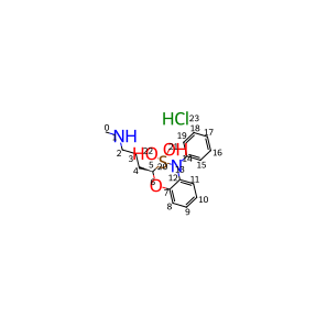 CNCCC[C@@H]1Oc2ccccc2N(c2ccccc2)S1(O)O.Cl